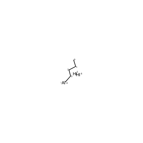 CCC[CH2][Al].I.I